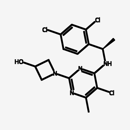 Cc1nc(N2CC(O)C2)nc(N[C@H](C)c2ccc(Cl)cc2Cl)c1Cl